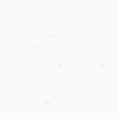 C=C(C)C(=C)NC(=O)C(=O)Nc1cc(Cl)ccc1-n1cnnn1